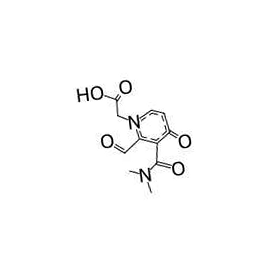 CN(C)C(=O)c1c(C=O)n(CC(=O)O)ccc1=O